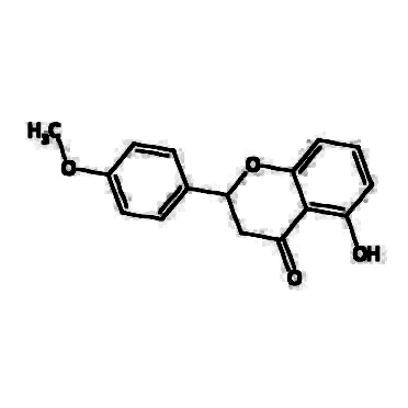 COc1ccc(C2CC(=O)c3c(O)cccc3O2)cc1